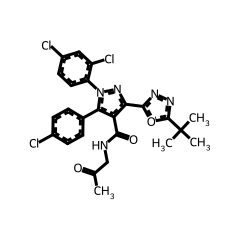 CC(=O)CNC(=O)c1c(-c2nnc(C(C)(C)C)o2)nn(-c2ccc(Cl)cc2Cl)c1-c1ccc(Cl)cc1